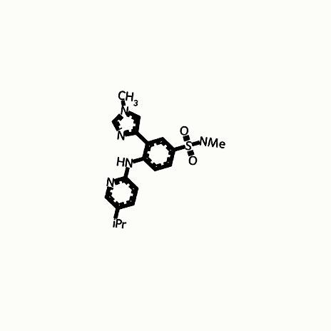 CNS(=O)(=O)c1ccc(Nc2ccc(C(C)C)cn2)c(-c2cn(C)cn2)c1